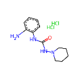 Cl.Cl.Nc1ccccc1NC(=O)NN1CCCCC1